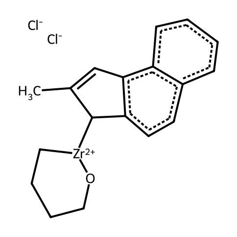 CC1=Cc2c(ccc3ccccc23)[CH]1[Zr+2]1[CH2]CCC[O]1.[Cl-].[Cl-]